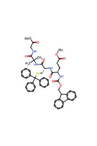 COC(=O)CNC(=O)C(C)(C)NC(=O)[C@@H](CSC(c1ccccc1)(c1ccccc1)c1ccccc1)NC(=O)[C@@H](CCC(=O)OC(C)(C)C)NC(=O)OCC1c2ccccc2-c2ccccc21